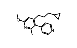 COc1cc(CCCC2CC2)c(-c2ccncc2)c(C)n1